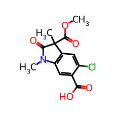 COC(=O)C1(C)C(=O)N(C)c2cc(C(=O)O)c(Cl)cc21